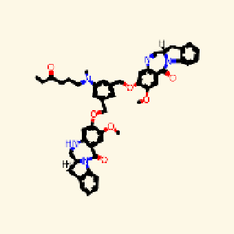 CCC(=O)CCCN(C)c1cc(COc2cc3c(cc2OC)C(=O)N2c4ccccc4C[C@H]2C=N3)cc(COc2cc3c(cc2OC)C(=O)N2c4ccccc4C[C@H]2CN3)c1